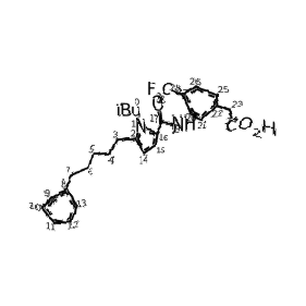 CC[C@H](C)n1c(CCCCCc2ccccc2)ccc1C(=O)Nc1cc(CC(=O)O)ccc1C(F)(F)F